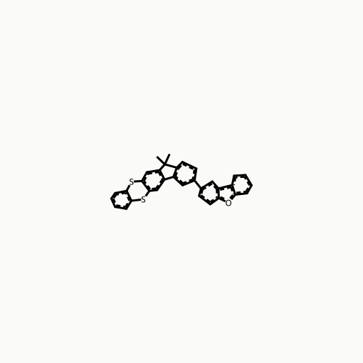 CC1(C)c2ccc(-c3ccc4oc5ccccc5c4c3)cc2-c2cc3c(cc21)Sc1ccccc1S3